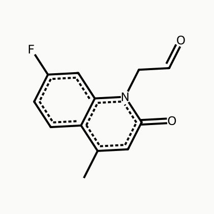 Cc1cc(=O)n(CC=O)c2cc(F)ccc12